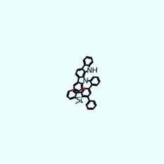 C[Si]1(C)c2ccccc2-c2cc(-c3ccccc3-n3c4ccccc4c4ccc5c6ccccc6[nH]c5c43)cc(-c3ccccc3)c21